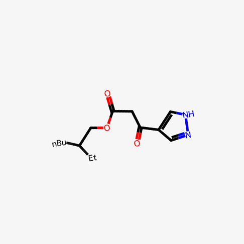 CCCCC(CC)COC(=O)CC(=O)c1cn[nH]c1